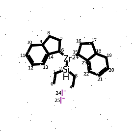 CC[SiH](CC)[Zr+2]([CH]1CCC2CC=CC=C21)[CH]1CCC2CC=CC=C21.[I-].[I-]